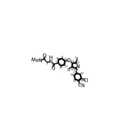 CNC(=O)CNC(=O)c1ccc(Oc2c(C)nn(-c3ccc(C#N)c(Cl)c3)c2C)cc1